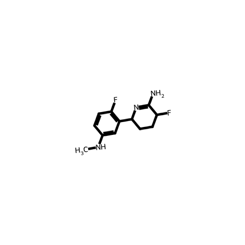 CNc1ccc(F)c(C2CCC(F)C(N)=N2)c1